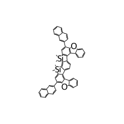 C[Si]1(C)c2cc(-c3ccc4ccccc4c3)c3oc4ccccc4c3c2-c2ccc3c(c21)[Si](C)(C)c1cc(-c2ccc4ccccc4c2)c2oc4ccccc4c2c1-3